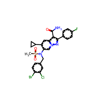 CS(=O)(=O)N(Cc1ccc(Br)c(Cl)c1)c1cn2nc(-c3ccc(F)cc3)c(C(N)=O)c2cc1C1CC1